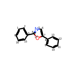 [c]1ccc(-c2ncc(-c3ccccc3)o2)cc1